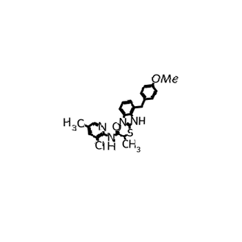 COc1ccc(Cc2cccc3nc(SC(C)C(=O)Nc4ncc(C)cc4Cl)[nH]c23)cc1